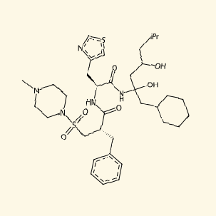 CC(C)CC(O)CC(O)(CC1CCCCC1)NC(=O)[C@H](Cc1cscn1)NC(=O)[C@H](Cc1ccccc1)CS(=O)(=O)N1CCN(C)CC1